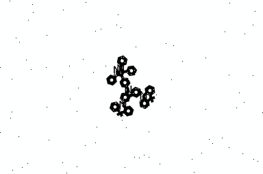 CC1(C)c2ccccc2N(c2ccc3c(c2)c2cc(N4c5ccccc5C(C)(C)c5ccccc54)ccc2n3-c2ccc(-c3c(-c4ccccc4)nn(-c4ccccc4)c3-c3ccccc3)cc2)c2ccccc21